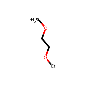 CCOCCO[SiH2]